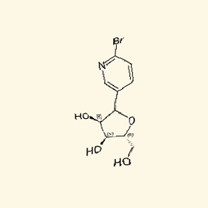 OC[C@H]1OC(c2ccc(Br)nc2)[C@H](O)[C@@H]1O